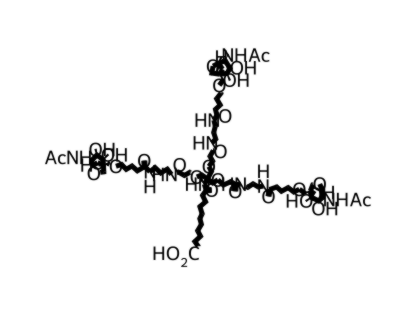 CC(=O)N[C@H]1[C@H]2OC[C@](COCCCCC(=O)NCCCNC(=O)CCOCC(COCCC(=O)NCCCNC(=O)CCCCOC[C@@]34CO[C@@H](O3)[C@H](NC(C)=O)[C@@H](O)[C@H]4O)(COCCC(=O)NCCCNC(=O)CCCCOC[C@@]34CO[C@@H](O3)[C@H](NC(C)=O)[C@@H](O)[C@H]4O)NC(=O)CCCCCCCCCCC(=O)O)(O2)[C@H](O)[C@@H]1O